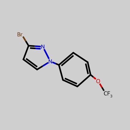 FC(F)(F)Oc1ccc(-n2ccc(Br)n2)cc1